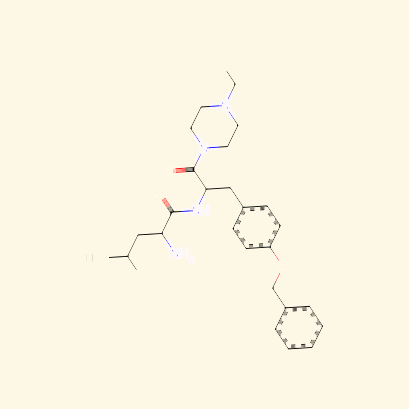 CCN1CCN(C(=O)C(Cc2ccc(OCc3ccccc3)cc2)NC(=O)C(N)CC(C)C)CC1